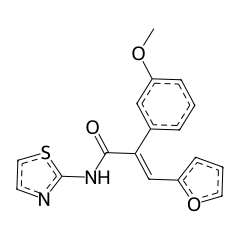 COc1cccc(/C(=C\c2ccco2)C(=O)Nc2nccs2)c1